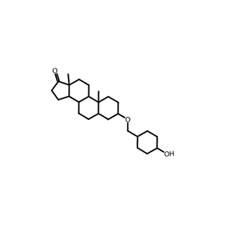 CC12CCC3C(CCC4CC(OCC5CCC(O)CC5)CCC43C)C1CCC2=O